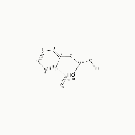 C=Cc1ccccc1CC(O)CC